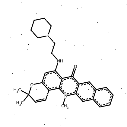 Cn1c2cc3ccccc3cc2c(=O)c2c(NCCN3CCCCC3)cc3c(c21)C=CC(C)(C)O3